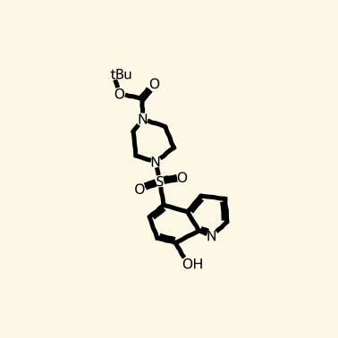 CC(C)(C)OC(=O)N1CCN(S(=O)(=O)c2ccc(O)c3ncccc23)CC1